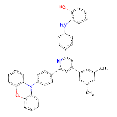 Cc1cc(C)cc(-c2cc(-c3ccc(Nc4ccccc4O)cc3)nc(-c3ccc(N4c5ccccc5Oc5ccccc54)cc3)c2)c1